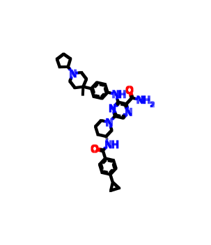 CC1(c2ccc(Nc3nc(N4CCC[C@@H](NC(=O)c5ccc(C6CC6)cc5)C4)cnc3C(N)=O)cc2)CCN(C2CCCC2)CC1